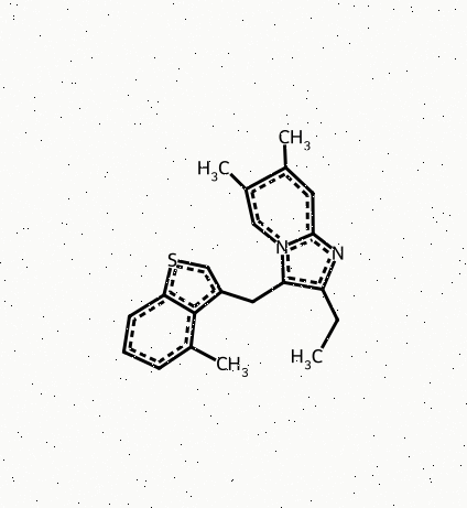 CCc1nc2cc(C)c(C)cn2c1Cc1csc2cccc(C)c12